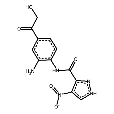 Nc1cc(C(=O)CO)ccc1NC(=O)c1n[nH]cc1[N+](=O)[O-]